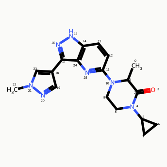 CC1C(=O)N(C2CC2)CCN1c1ccc2[nH]nc(-c3cnn(C)c3)c2n1